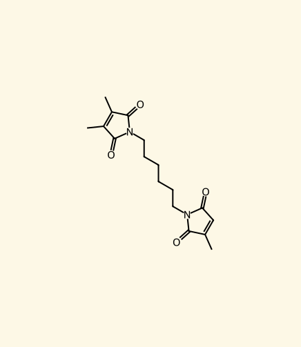 CC1=CC(=O)N(CCCCCCN2C(=O)C(C)=C(C)C2=O)C1=O